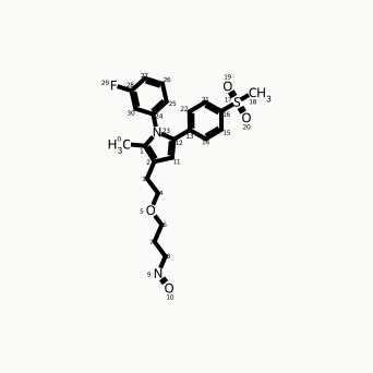 Cc1c(CCOCCCN=O)cc(-c2ccc(S(C)(=O)=O)cc2)n1-c1cccc(F)c1